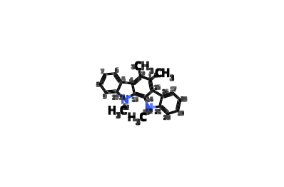 Cc1c(C)c2c3ccccc3n(C)c2c2c1c1ccccc1n2C